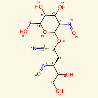 N#C[C@@H](C[C@H](N=O)C(O)CO)OC1OC(CO)C(O)C(O)C1N=O